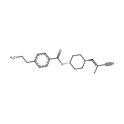 CCCc1ccc(C(=O)O[C@H]2CC[C@H](C=C(F)C#N)CC2)cc1